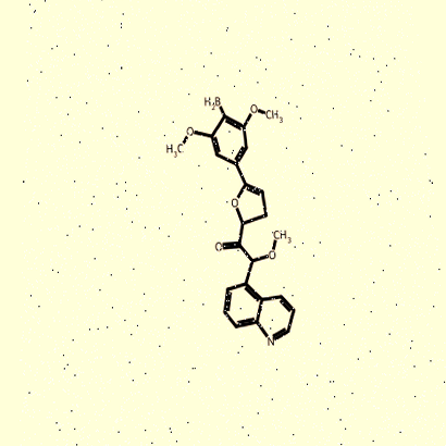 Bc1c(OC)cc(C2=CCC(C(=O)C(OC)c3cccc4ncccc34)O2)cc1OC